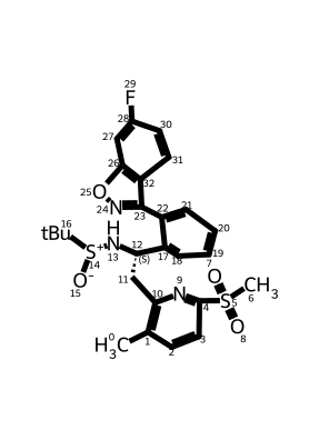 Cc1ccc(S(C)(=O)=O)nc1C[C@H](N[S+]([O-])C(C)(C)C)c1ccccc1-c1noc2cc(F)ccc12